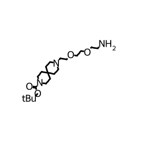 CC(C)(C)OC(=O)N1CCC2(CCN(CCOCCOCCN)CC2)CC1